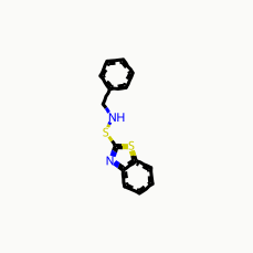 c1ccc(CNSc2nc3ccccc3s2)cc1